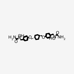 NC(=O)N(O)Cc1ccc(OC[C@H]2CC[C@H](COc3ccc(CN(O)C(N)=O)cc3)CC2)cc1